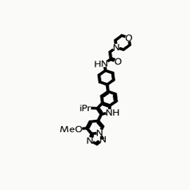 COc1cc(-c2[nH]c3ccc(C4CCC(NC(=O)CN5CCOCC5)CC4)cc3c2C(C)C)cn2ncnc12